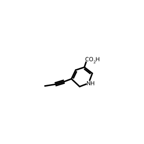 CC#CC1=CC(C(=O)O)=CNC1